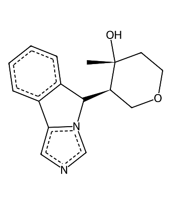 C[C@@]1(O)CCOC[C@H]1C1c2ccccc2-c2cncn21